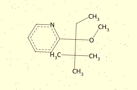 CCC(OC)(c1ccccn1)C(C)(C)C